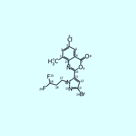 Cc1cc(Cl)cc2c(=O)oc(-c3cc(Br)nn3CCC(F)F)nc12